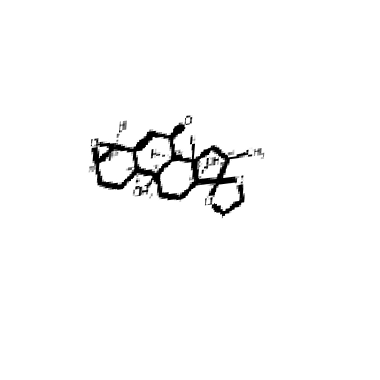 C[C@@H]1C[C@H]2[C@@H]3C(=O)C=C4[C@@H]5O[C@@H]5CC[C@]4(C)[C@H]3CC[C@]2(C)C12OCCO2